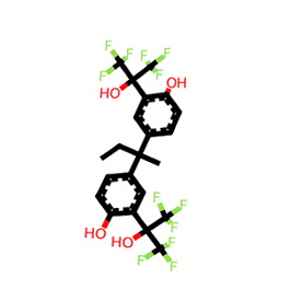 CCC(C)(c1ccc(O)c(C(O)(C(F)(F)F)C(F)(F)F)c1)c1ccc(O)c(C(O)(C(F)(F)F)C(F)(F)F)c1